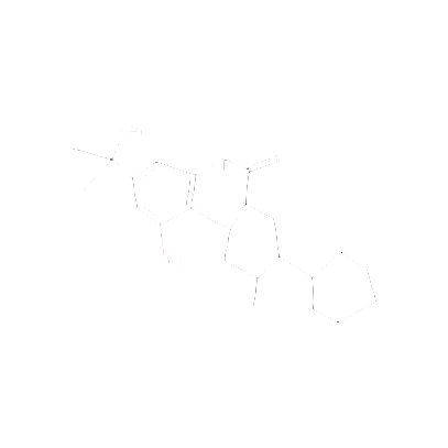 C=C(C)C1CC(C2CCCCC2)C(C)CC1c1c(O)cc(C(C)(C)CCCC)cc1O